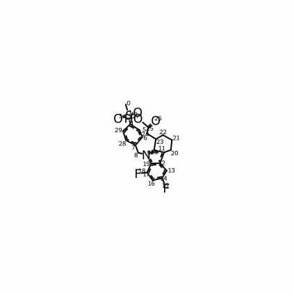 CS(=O)(=O)c1ccc(Cn2c3c(c4cc(F)cc(F)c42)CCCC3CC(=O)O)cc1